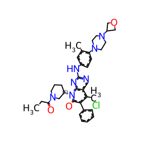 CCC(=O)N1CCC[C@H](n2c(=O)c(-c3ccccc3Cl)c(C)c3cnc(Nc4ccc(N5CCN(C6COC6)CC5)c(C)c4)nc32)C1